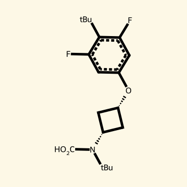 CC(C)(C)c1c(F)cc(O[C@H]2C[C@@H](N(C(=O)O)C(C)(C)C)C2)cc1F